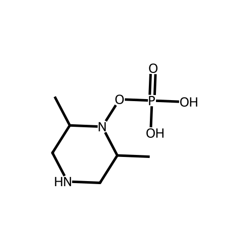 CC1CNCC(C)N1OP(=O)(O)O